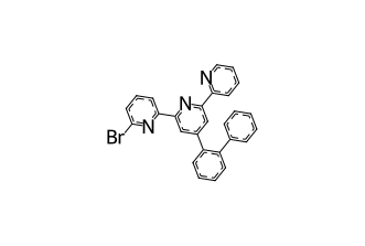 Brc1cccc(-c2cc(-c3ccccc3-c3ccccc3)cc(-c3ccccn3)n2)n1